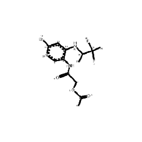 CC(=O)OCC(=O)Nc1cnc(Br)cc1NC(C)C(C)(F)F